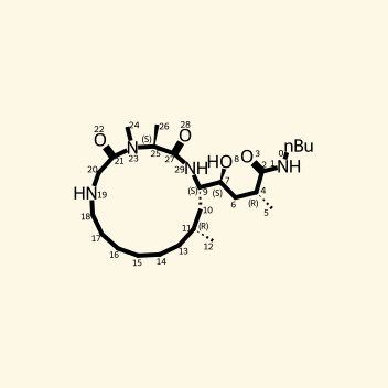 CCCCNC(=O)[C@H](C)C[C@H](O)[C@@H]1C[C@H](C)CCCCCCNCC(=O)N(C)[C@@H](C)C(=O)N1